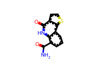 NC(=O)c1cccc2c1[nH]c(=O)c1ccsc12